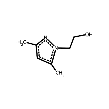 [CH2]c1cc(C)n(CCO)n1